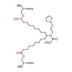 CCCCCCCCC(=O)N(CCCN1CCCC1)C(CCCCCCCCC(=O)OCC(CCCC)CCCCCC)CCCCCCCCC(O)OCC(CCCC)CCCCCC